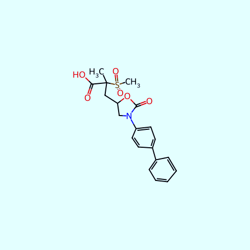 CC(CC1CN(c2ccc(-c3ccccc3)cc2)C(=O)O1)(C(=O)O)S(C)(=O)=O